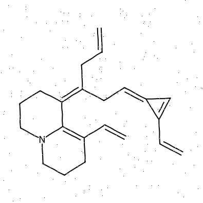 C=CC/C(C/C=C1C=C/1C=C)=C1\CCCN2CCCC(C=C)=C12